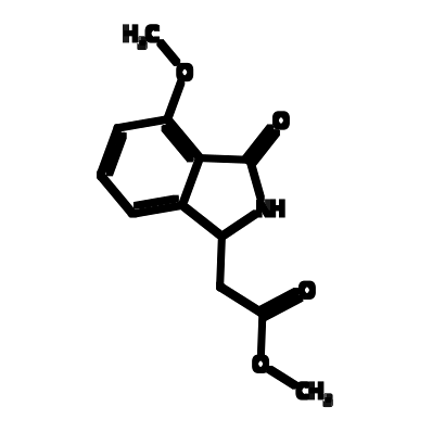 COC(=O)CC1NC(=O)c2c(OC)cccc21